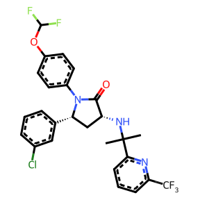 CC(C)(N[C@@H]1C[C@H](c2cccc(Cl)c2)N(c2ccc(OC(F)F)cc2)C1=O)c1cccc(C(F)(F)F)n1